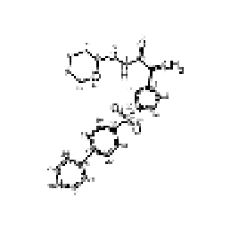 C=C(C(=O)NOC1CCCCO1)c1ccn(S(=O)(=O)c2ccc(-c3ccncc3)cc2)c1